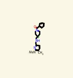 CNc1nc(CNCC2(F)CCN(C(=O)c3ccccc3)CC2)ccc1C